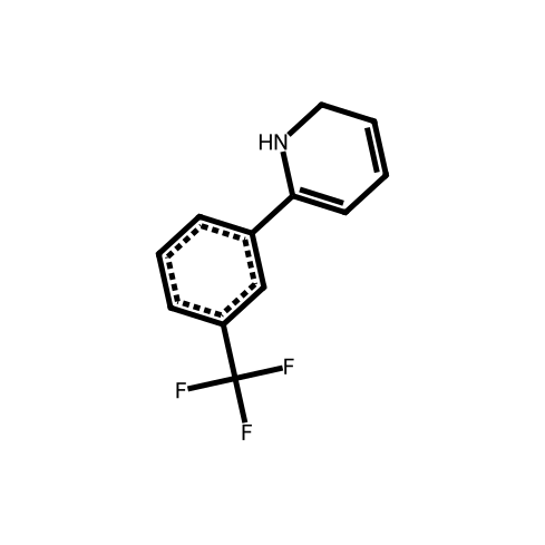 FC(F)(F)c1cccc(C2=CC=CCN2)c1